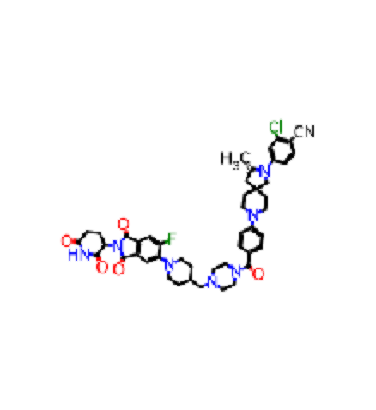 C[C@H]1CC2(CCN(c3ccc(C(=O)N4CCN(CC5CCN(c6cc7c(cc6F)C(=O)N(C6CCC(=O)NC6=O)C7=O)CC5)CC4)cc3)CC2)CN1c1ccc(C#N)c(Cl)c1